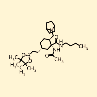 CCCCNC(=O)[C@@]1(NC(C)=O)C[C@H](CCB2OC(C)(C)C(C)(C)O2)CC[C@H]1CN1C2CCC1CC2